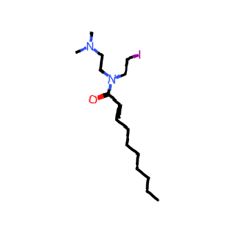 CCCCCCC/C=C/C(=O)N(CCI)CCN(C)C